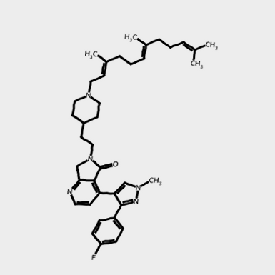 CC(C)=CCC/C(C)=C/CC/C(C)=C/CN1CCC(CCN2Cc3nccc(-c4cn(C)nc4-c4ccc(F)cc4)c3C2=O)CC1